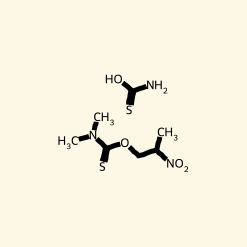 CC(COC(=S)N(C)C)[N+](=O)[O-].NC(O)=S